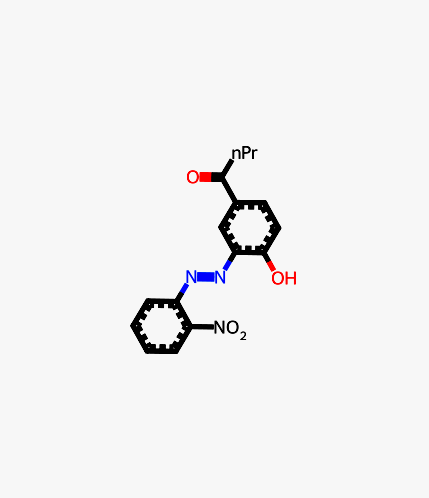 CCCC(=O)c1ccc(O)c(N=Nc2ccccc2[N+](=O)[O-])c1